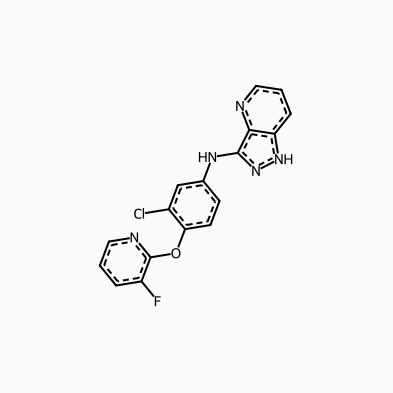 Fc1cccnc1Oc1ccc(Nc2n[nH]c3cccnc23)cc1Cl